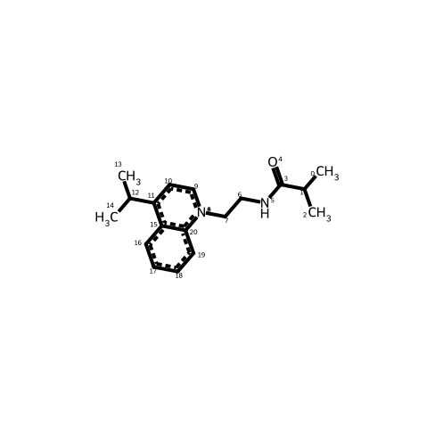 CC(C)C(=O)NCC[n+]1ccc(C(C)C)c2ccccc21